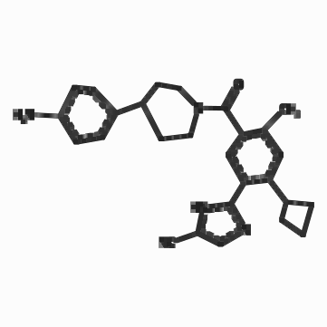 Cc1cc(C2CCC2)c(-c2ncc(C#N)[nH]2)cc1C(=O)N1CCC(c2ccc(N)cc2)CC1